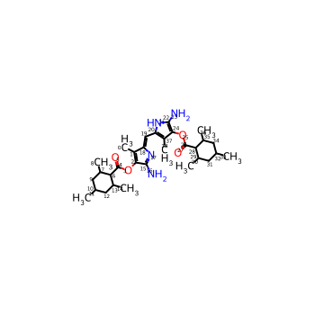 CC1=C(OC(=O)C2C(C)CC(C)CC2C)C(N)=N/C1=C\c1[nH]c(N)c(OC(=O)C2C(C)CC(C)CC2C)c1C